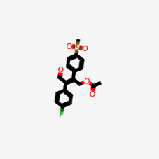 CC(=O)OCC(=C(C=O)c1ccc(F)cc1)c1ccc(S(C)(=O)=O)cc1